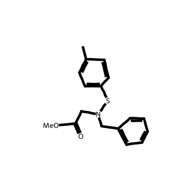 COC(=O)CN(Cc1ccccc1)Sc1ccc(C)cc1